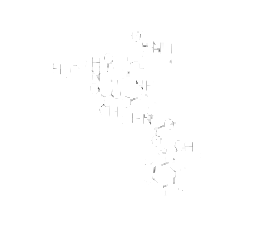 CCNC(=O)C(OC(C)=O)C(C[C@@H]1CCNC1=O)NC(=O)CNC(=O)OC(C)c1ccccc1